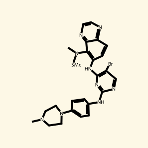 CSN(C)c1c(Nc2nc(Nc3ccc(N4CCN(C)CC4)cc3)ncc2Br)ccc2nccnc12